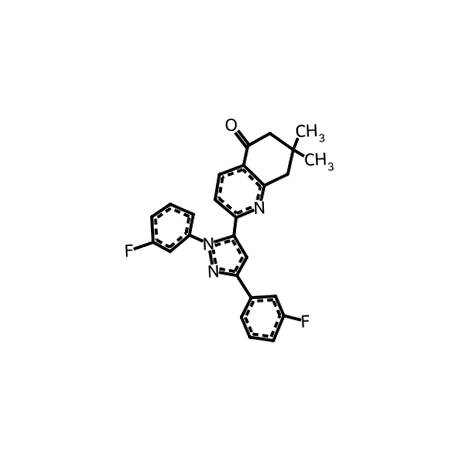 CC1(C)CC(=O)c2ccc(-c3cc(-c4cccc(F)c4)nn3-c3cccc(F)c3)nc2C1